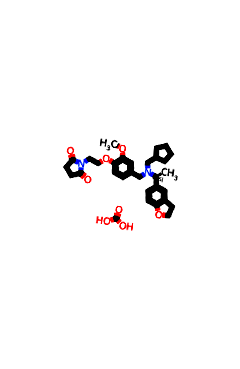 COc1cc(CN(CC2CCCC2)[C@@H](C)c2ccc3c(c2)CCO3)ccc1OCCN1C(=O)CCC1=O.O=C(O)O